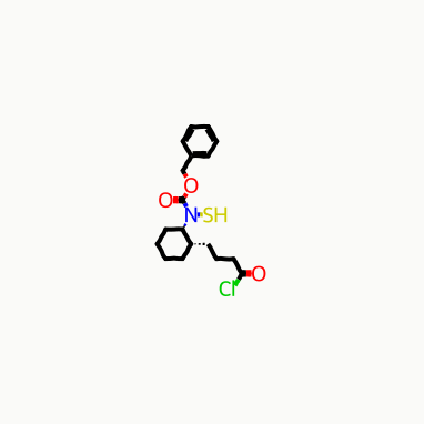 O=C(Cl)CCC[C@@H]1CCCC[C@@H]1N(S)C(=O)OCc1ccccc1